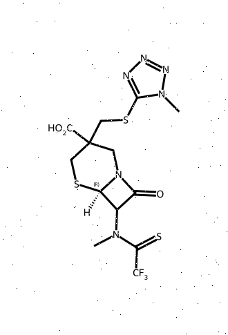 CN(C(=S)C(F)(F)F)C1C(=O)N2CC(CSc3nnnn3C)(C(=O)O)CS[C@H]12